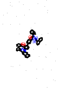 c1ccc(-c2nc(-c3cccc4ccccc34)nc3c2oc2ccc(-c4ccc(-n5c6ccccc6c6cc7ccccc7cc65)c5c4oc4ccccc45)cc23)cc1